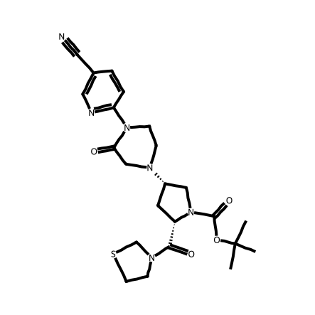 CC(C)(C)OC(=O)N1C[C@@H](N2CCN(c3ccc(C#N)cn3)C(=O)C2)C[C@H]1C(=O)N1CCSC1